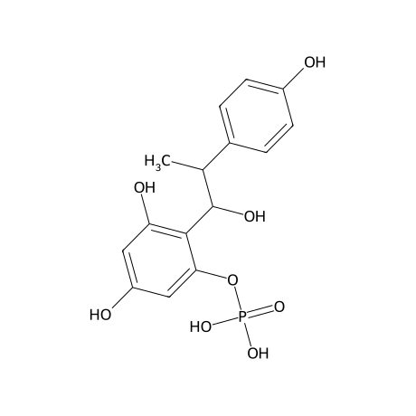 CC(c1ccc(O)cc1)C(O)c1c(O)cc(O)cc1OP(=O)(O)O